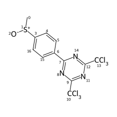 C[S+]([O-])c1ccc(-c2nc(C(Cl)(Cl)Cl)nc(C(Cl)(Cl)Cl)n2)cc1